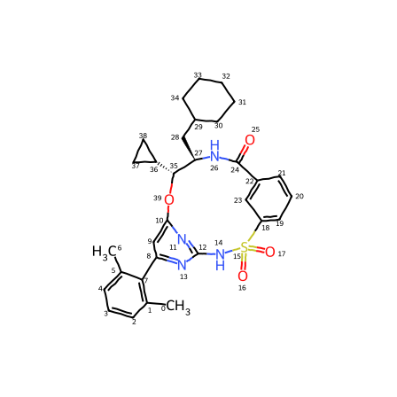 Cc1cccc(C)c1-c1cc2nc(n1)NS(=O)(=O)c1cccc(c1)C(=O)N[C@H](CC1CCCCC1)[C@@H](C1CC1)O2